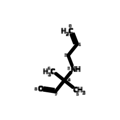 C=CCNC(C)(C)C=O